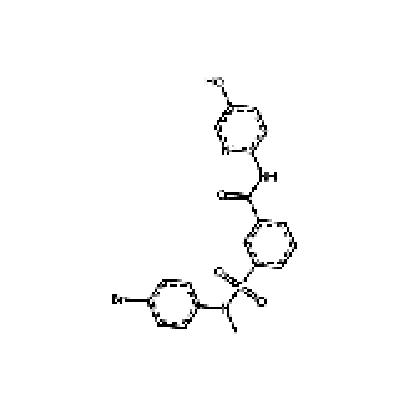 CN(c1ccc(Br)cc1)S(=O)(=O)c1cccc(C(=O)Nc2ccc(O)cn2)c1